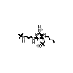 CCCCc1nc2c(N)nc(NCCCNC(C)(C)C)nc2n1CC(C)(C)O